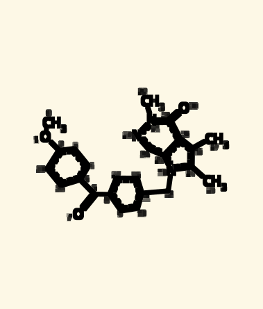 COc1ccc(C(=O)c2ccc(Cn3c(C)c(C)c4c(=O)n(C)ncc43)cc2)cc1